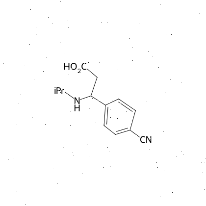 CC(C)NC(CC(=O)O)c1ccc(C#N)cc1